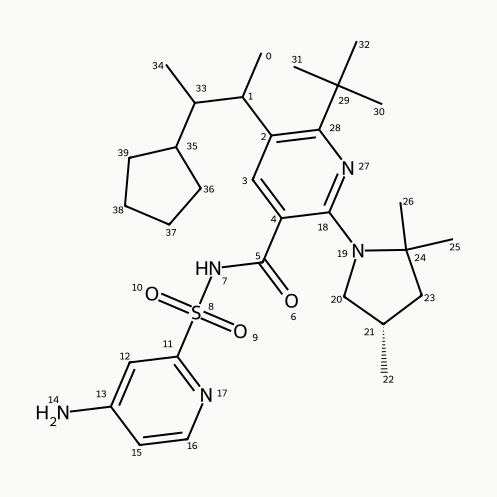 CC(c1cc(C(=O)NS(=O)(=O)c2cc(N)ccn2)c(N2C[C@@H](C)CC2(C)C)nc1C(C)(C)C)C(C)C1CCCC1